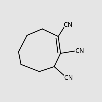 N#C/C1=C(\C#N)C(C#N)CCCCC1